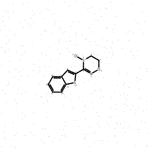 [O-][S+]1CCON=C1c1cc2ccccc2s1